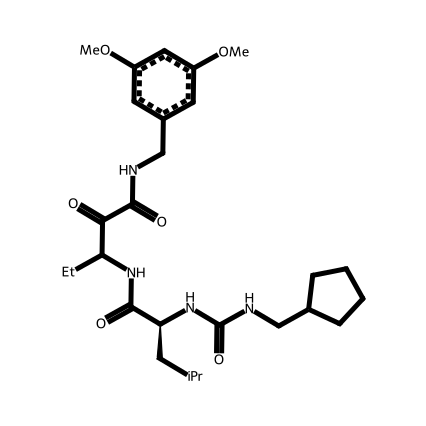 CCC(NC(=O)[C@H](CC(C)C)NC(=O)NCC1CCCC1)C(=O)C(=O)NCc1cc(OC)cc(OC)c1